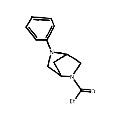 CCC(=O)N1CC2CC1CN2c1ccccc1